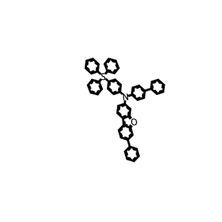 c1ccc(-c2ccc(N(c3ccc(S(c4ccccc4)(c4ccccc4)c4ccccc4)cc3)c3ccc4c(c3)oc3cc(-c5ccccc5)ccc34)cc2)cc1